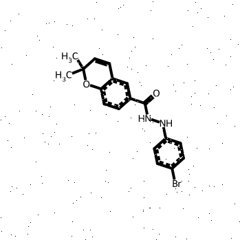 CC1(C)C=Cc2cc(C(=O)NNc3ccc(Br)cc3)ccc2O1